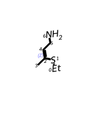 CCS/C(C)=C\CN